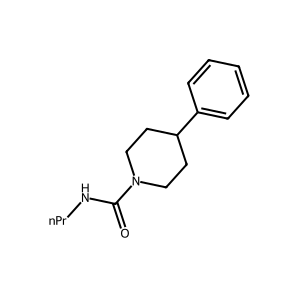 CCCNC(=O)N1CCC(c2ccccc2)CC1